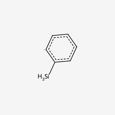 [SiH3]c1[c]cccc1